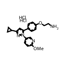 COc1ccc(-n2nc(C3CC3)cc2-c2ccc(OCCN)cc2)cn1.Cl.Cl